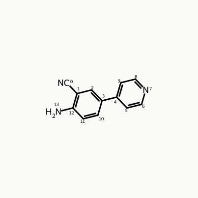 N#Cc1cc(-c2ccncc2)ccc1N